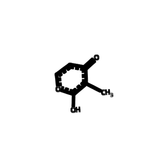 Cc1c(O)occc1=O